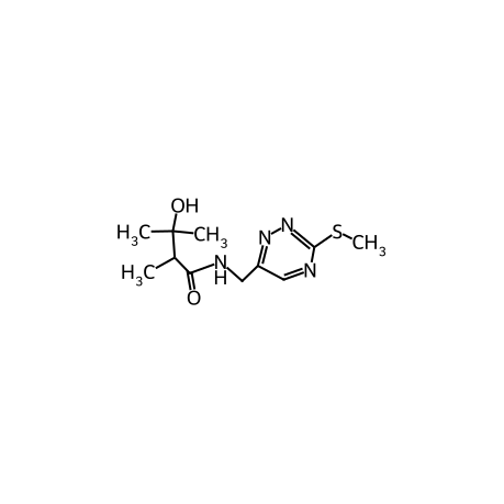 CSc1ncc(CNC(=O)C(C)C(C)(C)O)nn1